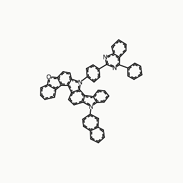 c1ccc(-c2nc(-c3ccc(-n4c5ccc6oc7ccccc7c6c5c5ccc6c(c7ccccc7n6-c6ccc7ccccc7c6)c54)cc3)nc3ccccc23)cc1